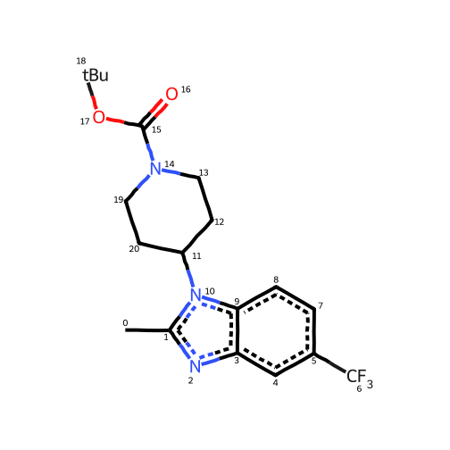 Cc1nc2cc(C(F)(F)F)ccc2n1C1CCN(C(=O)OC(C)(C)C)CC1